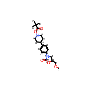 COCC1CN(c2ccc(C3CCN(OC(=O)C(C)(C)C)CC3)cc2)C(=O)O1